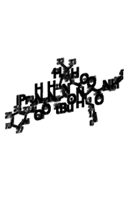 C#CCCC(NC(=O)[C@@H]1[C@@H]2[C@H](CN1C(=O)[C@@H](NC(=O)NC(C(=O)c1ccccc1)C(C)C)C(C)(C)C)C2(C)C)C(=O)C(=O)NCC#C